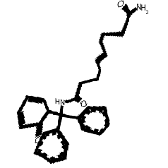 NC(=O)CCCCCCC(=O)NC(c1ccccc1)(c1ccccc1)C1C=CC=CC1=O